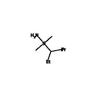 CCC(C(C)C)[Si](C)(C)N